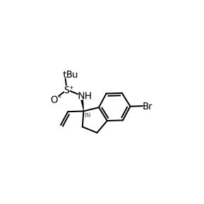 C=C[C@@]1(N[S+]([O-])C(C)(C)C)CCc2cc(Br)ccc21